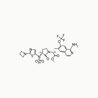 COC(=O)[C@@H](Cc1cc2ccnc(N)c2cc1OC(F)(F)F)N1CC[C@H](N(c2cnc(N3CCC3)s2)[SH](=O)=O)C1=O